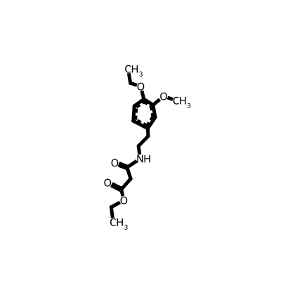 CCOC(=O)CC(=O)NCCc1ccc(OCC)c(OC)c1